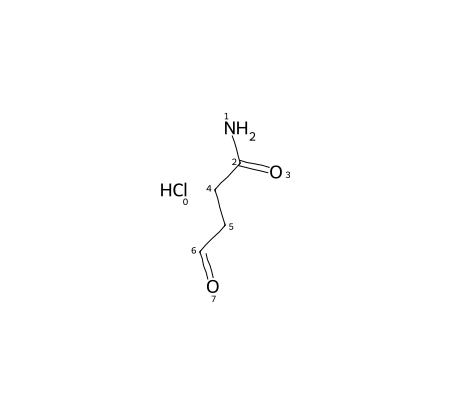 Cl.NC(=O)CCC=O